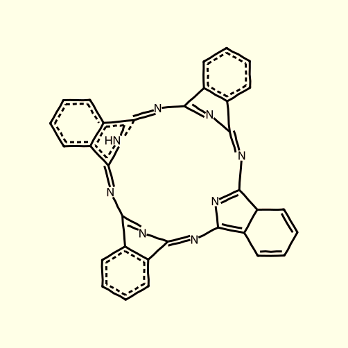 C1=CC2=C3N=C(/N=C4N=C(/N=c5\[nH]/c(c6ccccc56)=N\C5=NC(=N\3)/c3ccccc35)c3ccccc3\4)C2C=C1